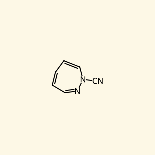 N#CN1C=CC=CC=N1